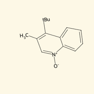 Cc1c[n+]([O-])c2ccccc2c1C(C)(C)C